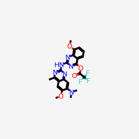 COc1cc2c(C)nc(Nc3nc(OC(=O)C(F)(F)F)c4cccc(OC)c4n3)nc2cc1N(C)C